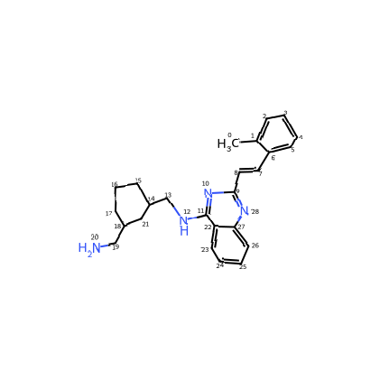 Cc1ccccc1C=Cc1nc(NCC2CCCC(CN)C2)c2ccccc2n1